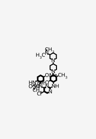 COc1ccc(NS(C)(=O)=O)c(Nc2nc(Nc3cc(C)c(N4CCC(N5CCCC(N(C)C)C5)CC4)cc3OC)ncc2Cl)c1